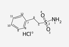 Cl.NS(=O)(=O)CCc1ccccc1